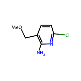 COCc1ccc(Cl)nc1N